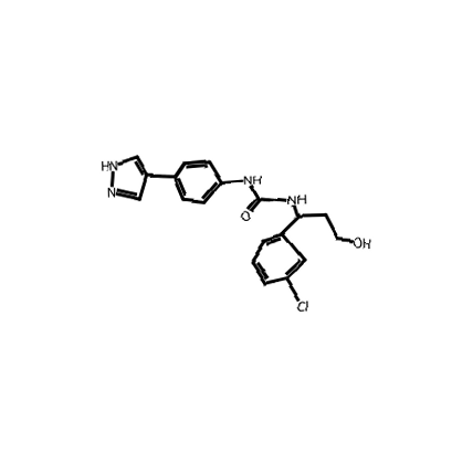 O=C(Nc1ccc(-c2cn[nH]c2)cc1)NC(CCO)c1cccc(Cl)c1